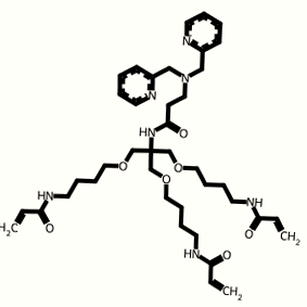 C=CC(=O)NCCCCOCC(COCCCCNC(=O)C=C)(COCCCCNC(=O)C=C)NC(=O)CCN(Cc1ccccn1)Cc1ccccn1